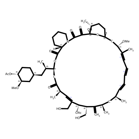 C=C1[C@H](C)C[C@H](C)/C=C/C=C/C=C(\C)[C@@H](OC)C[C@@H]2CC[C@@H](C)[C@@](O)(O2)C(=O)C(=O)N2CCCC[C@H]2C(=O)O[C@H]([C@H](C)C[C@@H]2CC[C@@H](OC(C)=O)[C@H](OC)C2)CC(=O)[C@H](C)/C=C(\CO)[C@@H](OC(C)=O)[C@H]1CO